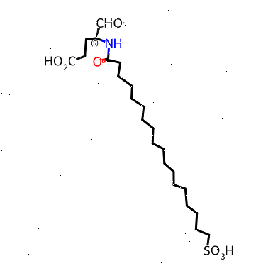 O=[C][C@H](CCC(=O)O)NC(=O)CCCCCCCCCCCCCCCCCS(=O)(=O)O